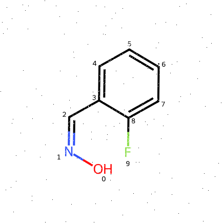 O/N=C\c1cc[c]cc1F